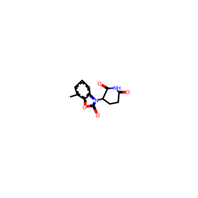 [CH2]c1cccc2c1oc(=O)n2C1CCC(=O)NC1=O